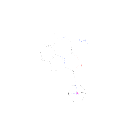 Cc1cccc2c1N(CC(=O)N1CC3CCC(CC3)C1)C(=O)[C@@H](N)N=C2C(C)C